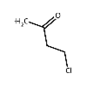 [CH2]C(=O)CCCl